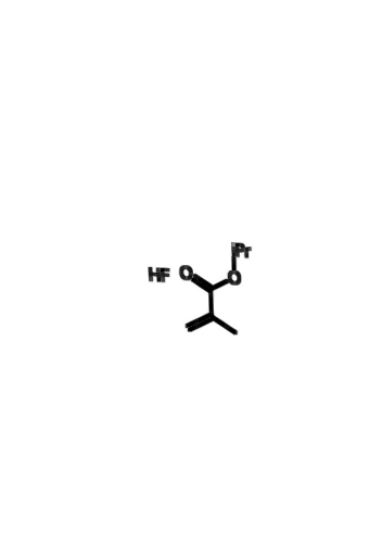 C=C(C)C(=O)OC(C)C.F